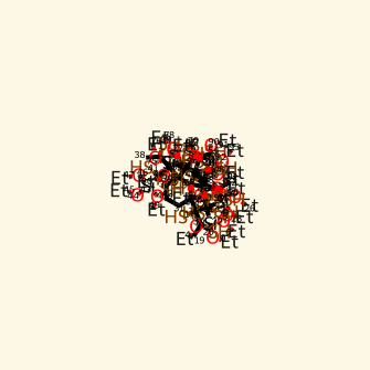 CCO[Si](OCC)(OCC)C(S)(S)C(S)(C(C)S)C1(C(S)(C(C)S)C(S)(S)[Si](OCC)(OCC)OCC)CCCC(C(S)(C(C)S)C(S)(S)[Si](OCC)(OCC)OCC)(C(S)(C(C)S)C(S)(S)[Si](OCC)(OCC)OCC)C1(C(S)(C(C)S)C(S)(S)[Si](OCC)(OCC)OCC)C(S)(C(C)S)C(S)(S)[Si](OCC)(OCC)OCC